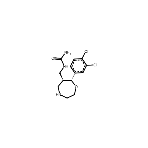 NC(=O)NC[C@@H]1CNCCO[C@H]1c1ccc(Cl)c(Cl)c1